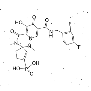 CN1C(=O)c2c(O)c(=O)c(C(=O)NCc3ccc(F)cc3F)cn2N(C)C12C=C(P(=O)(O)O)CC2